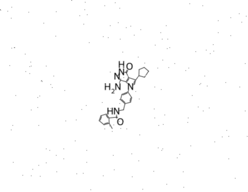 Cc1ccccc1C(=O)NCc1ccc(-n2cc(C3CCCC3)c3c(=O)[nH]nc(N)c32)cc1